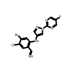 N=Cc1cc(Cl)c(Br)cc1Nc1cnn(-c2ncc(F)cn2)c1